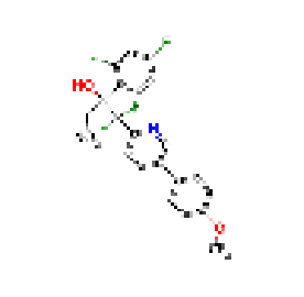 O=[N+]([O-])C[C@](O)(c1ccc(F)cc1F)C(F)(F)c1ccc(-c2ccc(OC(F)(F)F)cc2)cn1